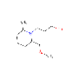 COCC1CCCC(C)N1CCCO